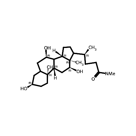 CNC(=O)CC[C@H](C)C1CC[C@H]2C3[C@H](O)CC4C[C@H](O)CC[C@]4(C)[C@H]3C[C@H](O)[C@]12C